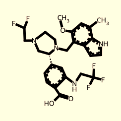 COc1cc(C)c2[nH]ccc2c1CN1CCN(CC(F)F)C[C@H]1c1ccc(C(=O)O)c(NCC(F)(F)F)c1